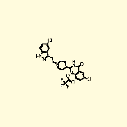 O=C1NC(C2CCN(CCc3n[nH]c4ccc(Cl)cc34)CC2)N(OC(=O)C(F)(F)F)c2ccc(Cl)cc21